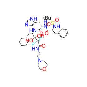 CC(C)(C)S(=O)(=O)N[C@@H](Cc1ccccc1)C(=O)N[C@@H](Cc1cnc[nH]1)C(=O)N[C@@H](CC1CCCCC1)C(O)(O)C(F)(F)C(=O)NCCN1CCOCC1